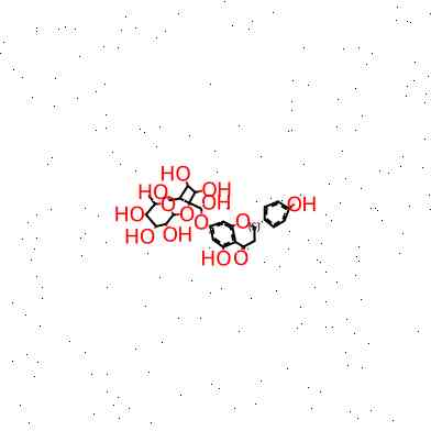 CC1OC(OC2(C(O)Oc3cc(O)c4c(c3)O[C@H](c3ccc(O)cc3)CC4=O)C(O)C(O)C2CO)C(O)C(O)C1O